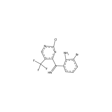 N=C(c1cccc(Br)c1N)c1nc(Cl)ncc1C(F)(F)F